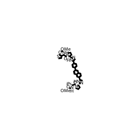 COC(=O)N[C@H](C(=O)N1CCC[C@@]1(C)c1ncc(-c2ccc(-c3ccc4cc(-c5cnc([C@@H]6CCCN6C(=O)[C@@H](NC(=O)OC)C(C)C)[nH]5)ccc4c3)cc2)[nH]1)c1ccsc1